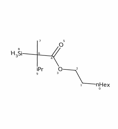 CCCCCCCCOC(=O)C(C)([SiH3])C(C)C